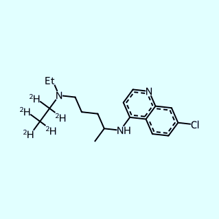 [2H]C([2H])([2H])C([2H])([2H])N(CC)CCCC(C)Nc1ccnc2cc(Cl)ccc12